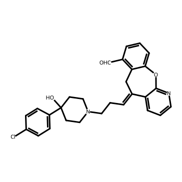 O=Cc1cccc2c1CC(=CCCN1CCC(O)(c3ccc(Cl)cc3)CC1)c1cccnc1O2